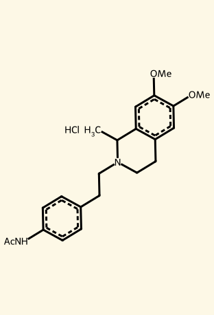 COc1cc2c(cc1OC)C(C)N(CCc1ccc(NC(C)=O)cc1)CC2.Cl